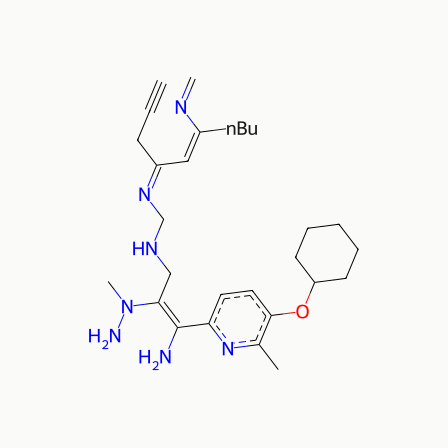 C#CCC(/C=C(/CCCC)N=C)=N/CNC/C(=C(/N)c1ccc(OC2CCCCC2)c(C)n1)N(C)N